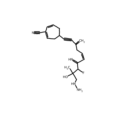 C=C(C#CC1CC=CC(C#N)=CC1)C/C=C\C(=N)C(F)C(C)(O)CNN